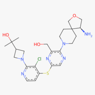 CC(C)(O)C1CN(c2nccc(Sc3cnc(N4CCC5(CC4)COC[C@H]5N)c(CO)n3)c2Cl)C1